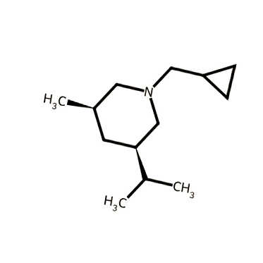 CC(C)[C@H]1C[C@@H](C)CN(CC2CC2)C1